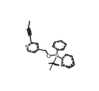 CC#Cc1cc(CO[Si](c2ccccc2)(c2ccccc2)C(C)(C)C)ccn1